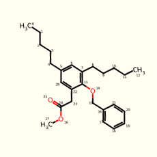 CCCCCc1cc(CCCCC)c(OCc2ccccc2)c(CC(=O)OC)c1